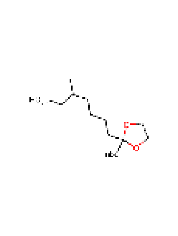 CCCCC1(CCCCC(C)CC(=O)O)OCCO1